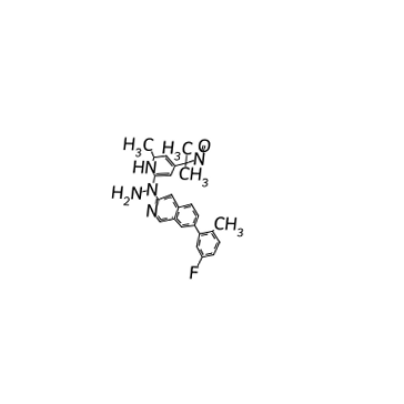 Cc1ccc(F)cc1-c1ccc2cc(N(N)C3=CC(C(C)(C)N=O)=CC(C)N3)ncc2c1